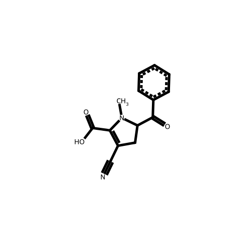 CN1C(C(=O)O)=C(C#N)CC1C(=O)c1ccccc1